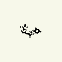 CC(=O)Nc1ncc(C=C2SC(=Nc3ccc(C)cc3C)NC2=O)s1